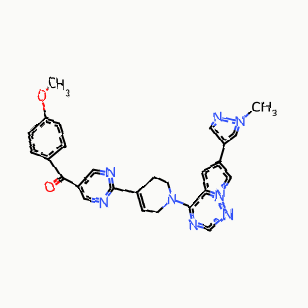 COc1ccc(C(=O)c2cnc(C3=CCN(c4ncnn5cc(-c6cnn(C)c6)cc45)CC3)nc2)cc1